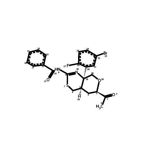 CC(=O)[C@H]1C[C@H]2CSC(NC(=O)c3ccccc3)=N[C@@]2(c2cc(Br)ccc2F)CO1